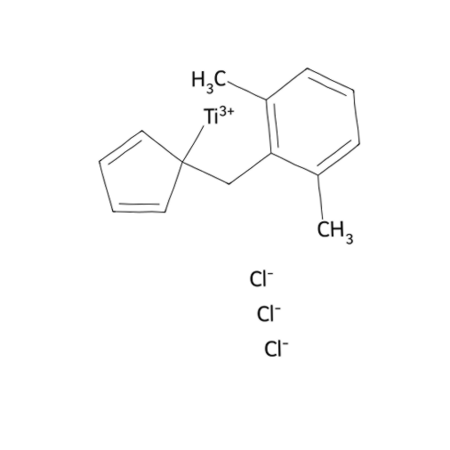 Cc1cccc(C)c1C[C]1([Ti+3])C=CC=C1.[Cl-].[Cl-].[Cl-]